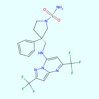 NS(=O)(=O)N1CC[C@](CNc2cc(C(F)(F)F)nc3cc(C(F)(F)F)nn23)(c2ccccc2)C1